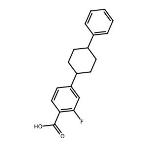 O=C(O)c1ccc(C2CCC(c3ccccc3)CC2)cc1F